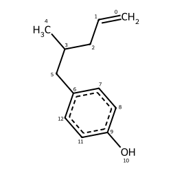 C=CCC(C)Cc1ccc(O)cc1